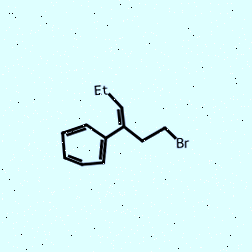 CC/C=C(/CCBr)c1ccccc1